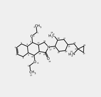 CCOC1C2CC=CCC2C(OCC)C2C(=O)N(C3CCC(CC4(N)CC4)CC3C)CC12